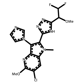 COc1nc2c(-n3ccnc3)c(-c3nnc(C(OC)C(F)F)[nH]3)n(C)c2cc1Cl